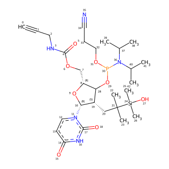 C#CCNC(=O)OC[C@H]1O[C@@H](n2ccc(=O)[nH]c2=O)[C@@H](CC(C)(C)[Si](C)(C)O)C1OP(OCCC#N)N(C(C)C)C(C)C